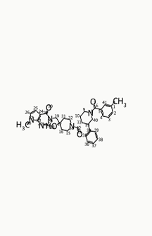 Cc1cccc(C(=O)N2CC[C@@H](C(=O)N3CCC(O)(Cn4cnc5c(ccn5C)c4=O)CC3)[C@H](c3ccccc3)C2)c1